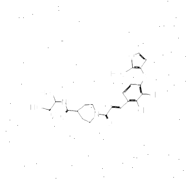 Cc1occc1Sc1ccc(/C=C/C(=O)N2CCC(C(=O)NC(C)C(=O)O)CC2)c(Cl)c1Cl